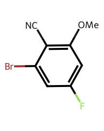 COc1cc(F)cc(Br)c1C#N